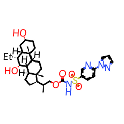 CC[C@H]1[C@@H](O)[C@@H]2[C@H](CC[C@]3(C)[C@@H]([C@H](C)COC(=O)NS(=O)(=O)c4ccc(-n5cccn5)nc4)CC[C@@H]23)[C@@]2(C)CC[C@@H](O)C[C@@H]12